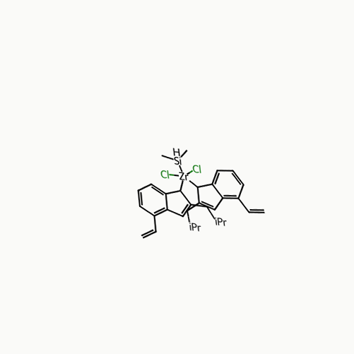 C=Cc1cccc2c1C=C(CC(C)C)[CH]2[Zr]([Cl])([Cl])([CH]1C(CC(C)C)=Cc2c(C=C)cccc21)[SiH](C)C